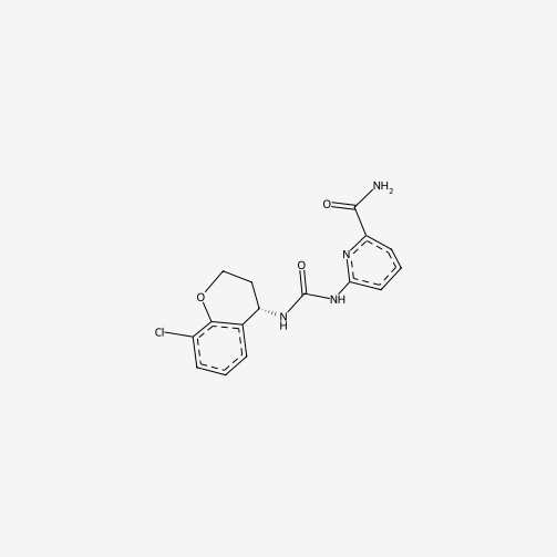 NC(=O)c1cccc(NC(=O)N[C@H]2CCOc3c(Cl)cccc32)n1